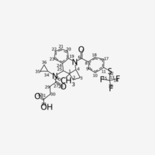 CC12CCC1N(C(=O)c1ccc(SC(F)(F)F)cc1)c1ccccc1C2N(C(=O)CCC(=O)O)C1CC1